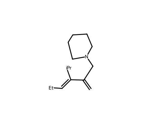 C=C(CN1CCCCC1)/C(=C/CC)C(C)C